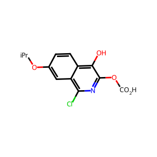 CC(C)Oc1ccc2c(O)c(OC(=O)O)nc(Cl)c2c1